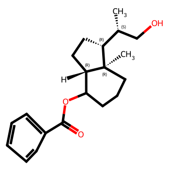 C[C@H](CO)[C@H]1CC[C@H]2C(OC(=O)c3ccccc3)CCC[C@]12C